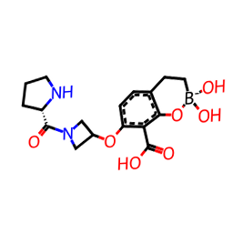 O=C(O)c1c(OC2CN(C(=O)[C@@H]3CCCN3)C2)ccc2c1O[B-](O)(O)CC2